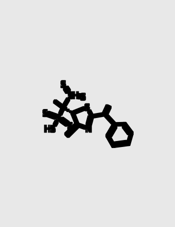 C=C(C1=NC(=C)[C@H](C(C)([SH](=S)=S)S(=S)(=S)S)S1)c1ccccc1